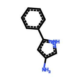 Nc1c[nH]c(-c2ccccc2)c1